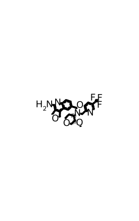 CO[C@@H]1COCC[C@H]1N(Cc1ccc(C(F)(F)F)cn1)C(=O)c1ccc2nc(N)c3c(c2c1)COC3